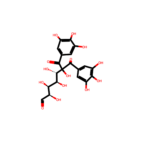 O=C[C@H](O)[C@@H](O)[C@H](O)[C@H](O)C(O)(C(=O)c1cc(O)c(O)c(O)c1)C(=O)c1cc(O)c(O)c(O)c1